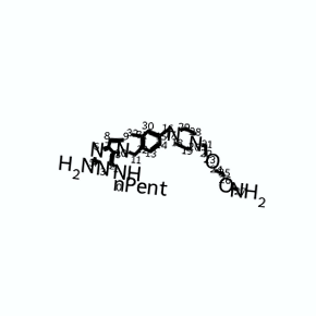 CCCCCNc1nc(N)nc2ccn(Cc3ccc(CN4CCN(CCOCCON)CC4)cc3C)c12